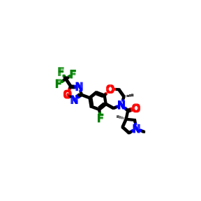 C[C@H]1COc2cc(-c3noc(C(F)(F)F)n3)cc(F)c2CN1C(=O)[C@]1(C)CCN(C)C1